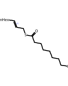 CCCCCC/C=C/CSC(=O)CCCCCCCI